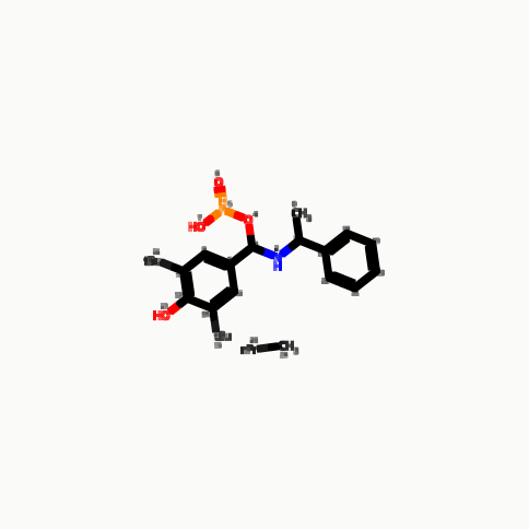 CC(NC(O[PH](=O)O)c1cc(C(C)(C)C)c(O)c(C(C)(C)C)c1)c1ccccc1.CCCC